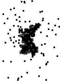 C[C@H](N=[N+]=[N-])[C@H](N)C(=O)N1CC(C)(C)c2nc(O[Si](C)(C)C(C)(C)C)c(Cc3ccc(F)cc3)cc21